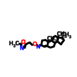 Cc1ncc(CCON=C2C=C3CCC4C(CC[C@@]5(C)C4CC[C@@H]5C)[C@@]3(C)CC2)o1